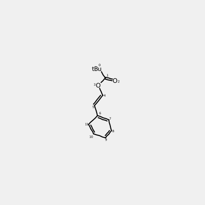 CC(C)(C)C(=O)OC=Cc1ccccc1